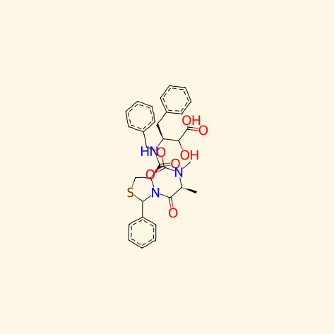 C[C@@H](C(=O)N1C(c2ccccc2)SC[C@H]1C(=O)N[C@@H](Cc1ccccc1)C(O)C(=O)O)N(C)C(=O)OCc1ccccc1